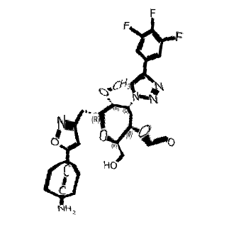 CO[C@@H]1[C@H](n2cc(-c3cc(F)c(F)c(F)c3)nn2)[C@@H](OC=O)[C@@H](CO)O[C@@H]1Cc1cc(C23CCC(N)(CC2)CC3)on1